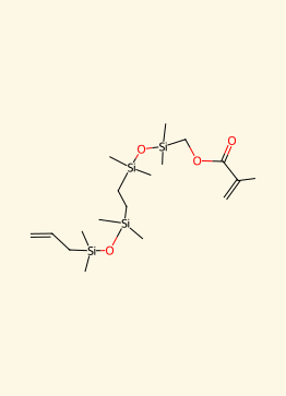 C=CC[Si](C)(C)O[Si](C)(C)CC[Si](C)(C)O[Si](C)(C)COC(=O)C(=C)C